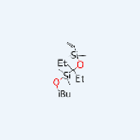 C=C[Si](C)(C)OC(CC)(CC)[Si](C)(C)OC(C)CC